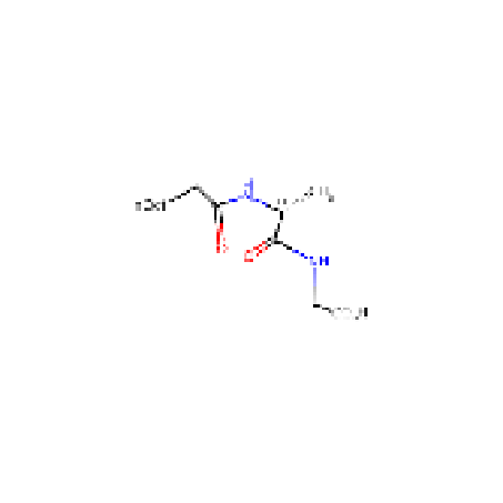 CCCCCCCCCC(=O)N[C@H](C)C(=O)NCC(=O)O